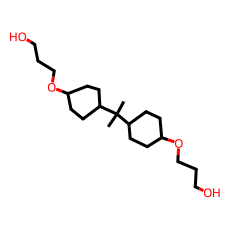 CC(C)(C1CCC(OCCCO)CC1)C1CCC(OCCCO)CC1